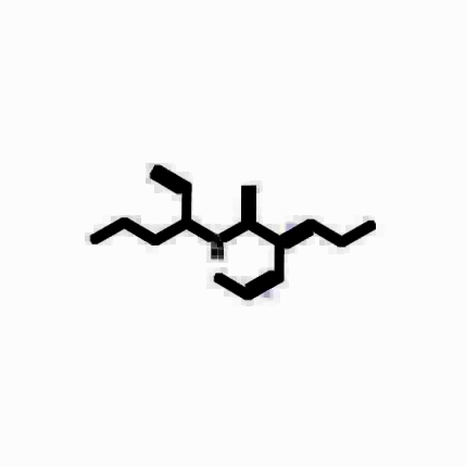 C=CC(CCC)NC(=C)C(/C=C\C)=C/CC